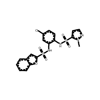 Cn1nccc1S(=O)(=O)Nc1ccc(Cl)cc1NS(=O)(=O)c1cc2ccccc2o1